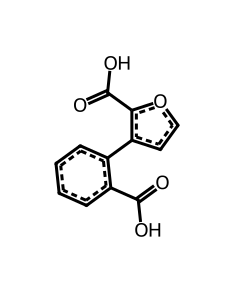 O=C(O)c1ccccc1-c1ccoc1C(=O)O